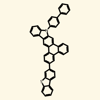 c1ccc(-c2ccc(-n3c4ccccc4c4cc5c6ccc(-c7ccc8c(c7)sc7ccccc78)cc6c6ccccc6c5cc43)cc2)cc1